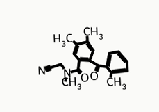 Cc1cc(C(=O)c2ccccc2C)c(C(=O)N(C)CC#N)cc1C